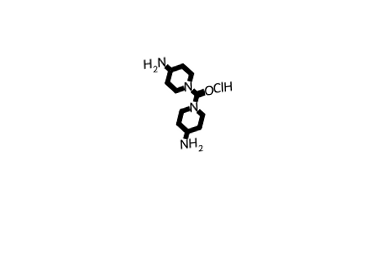 Cl.NC1CCN(C(=O)N2CCC(N)CC2)CC1